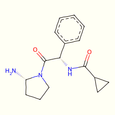 N[C@H]1CCCN1C(=O)[C@@H](NC(=O)C1CC1)c1ccccc1